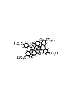 CCOC(=O)c1ccc(C2=NC(c3c(Cl)cc(Cl)cc3Cl)(C3(c4c(Cl)cc(Cl)cc4Cl)N=C(c4ccc(C(=O)OCC)cc4)C(c4ccc(C(=O)OCC)cc4)=N3)N=C2c2ccc(C(=O)OCC)cc2)cc1